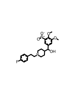 COc1cc(C(O)C2CCN(CCc3ccc(F)cc3)CC2)cc([N+](=O)[O-])c1OC